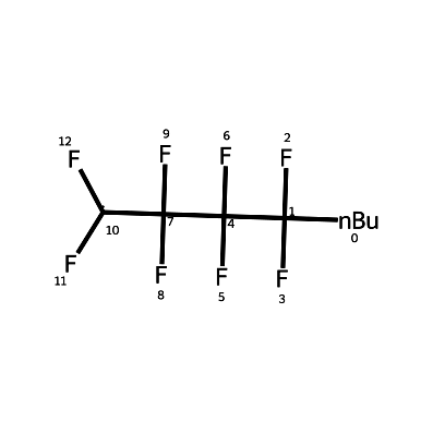 CCCCC(F)(F)C(F)(F)C(F)(F)[C](F)F